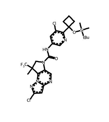 CC1(C(F)(F)F)CN(C(=O)Nc2cnc(C3(O[Si](C)(C)C(C)(C)C)CCC3)c(Cl)c2)c2cnc3cc(Cl)nn3c21